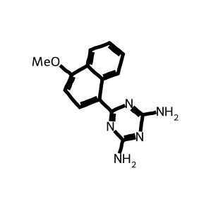 COc1ccc(-c2nc(N)nc(N)n2)c2ccccc12